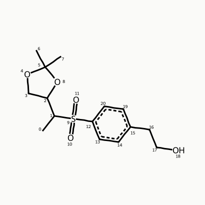 CC(C1COC(C)(C)O1)S(=O)(=O)c1ccc(CCO)cc1